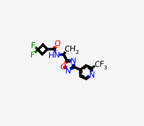 CC(NC(=O)C1CC(F)(F)C1)c1nc(-c2ccnc(C(F)(F)F)c2)no1